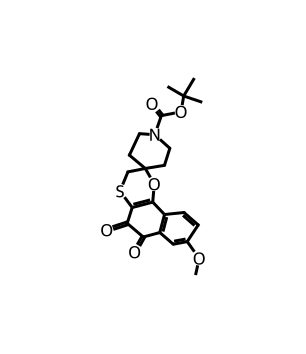 COc1ccc2c(c1)C(=O)C(=O)C1=C2OC2(CCN(C(=O)OC(C)(C)C)CC2)CS1